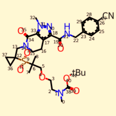 CN(CCOCC(C)(C)S(=O)(=O)C1(CN2CCc3c(C(=O)NCc4ccc(C#N)cc4)nn(C)c3C2=O)CC1)C(=O)OC(C)(C)C